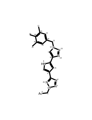 CC(=O)Cn1nnc(-c2c[nH]c(-c3cn(Cc4cc(C)c(C)c(C)c4)nn3)c2)n1